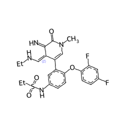 CCN/C=C1\C(=N)C(=O)N(C)C=C1c1cc(NS(=O)(=O)CC)ccc1Oc1ccc(F)cc1F